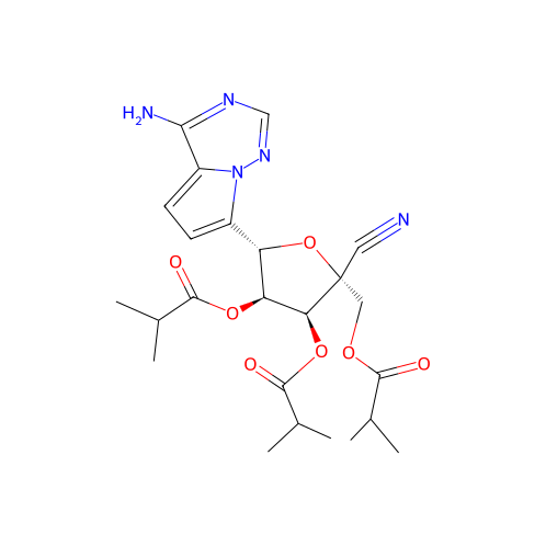 CC(C)C(=O)OC[C@@]1(C#N)O[C@@H](c2ccc3c(N)ncnn23)[C@H](OC(=O)C(C)C)[C@@H]1OC(=O)C(C)C